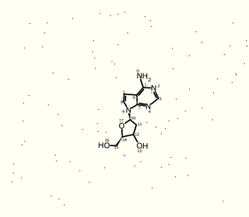 Nc1ncnc2c1ccn2[C@H]1CC(O)[C@@H](CO)O1